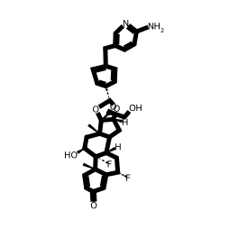 C[C@]12C=CC(=O)C=C1[C@@H](F)C[C@H]1C3C[C@H]4O[C@@H](c5ccc(Cc6ccc(N)nc6)cc5)O[C@@]4(C(=O)CO)[C@@]3(C)C[C@H](O)[C@@]12F